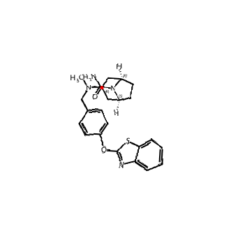 CN(Cc1ccc(Oc2nc3ccccc3s2)cc1)[C@H]1C[C@H]2CC[C@@H](C1)N2C(N)=O